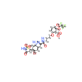 COC(=O)c1c(OCCCCNC(=O)[C@@H](N)Cc2ccc(C3CC(=O)NS3(=O)=O)c(Br)c2)cccc1OC(=O)C(F)(F)F